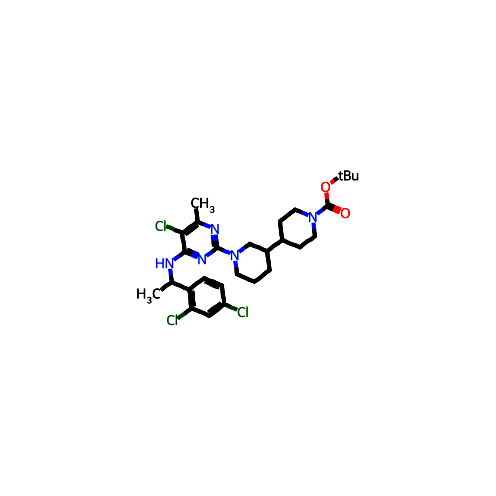 Cc1nc(N2CCCC(C3CCN(C(=O)OC(C)(C)C)CC3)C2)nc(NC(C)c2ccc(Cl)cc2Cl)c1Cl